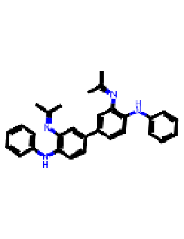 CC(C)=Nc1cc(-c2ccc(Nc3ccccc3)c(N=C(C)C)c2)ccc1Nc1ccccc1